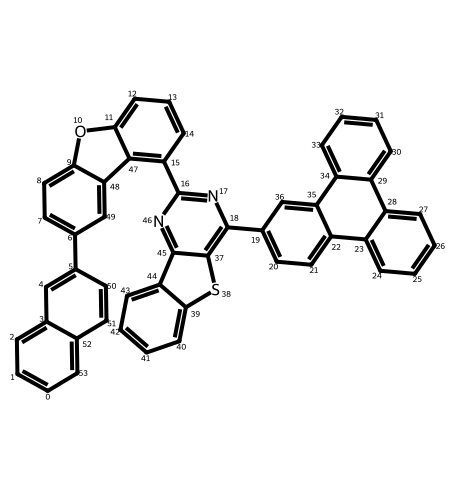 c1ccc2cc(-c3ccc4oc5cccc(-c6nc(-c7ccc8c9ccccc9c9ccccc9c8c7)c7sc8ccccc8c7n6)c5c4c3)ccc2c1